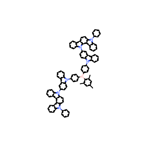 Cc1cc(C)c(B(c2ccc(-n3c4ccccc4c4cc(-n5c6ccccc6c6c7c8ccccc8n(-c8ccccc8)c7ccc65)ccc43)cc2)c2ccc(-n3c4ccccc4c4cc(-n5c6ccccc6c6ccc7c(c8ccccc8n7-c7ccccc7)c65)ccc43)cc2)c(C)c1